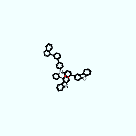 c1cc(-c2ccc(N(c3ccc(-c4ccc5oc6ccccc6c5c4)cc3)c3ccccc3-c3cccc4sc5ccccc5c34)cc2)cc(-c2cccc3ccccc23)c1